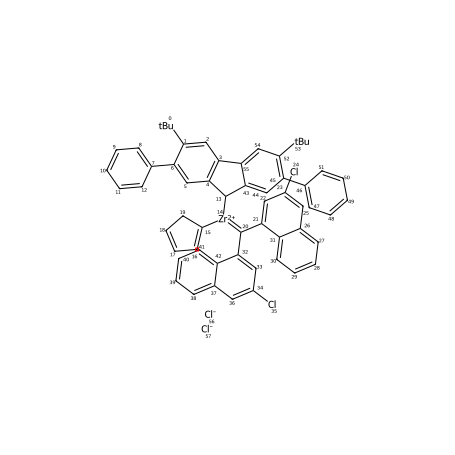 CC(C)(C)c1cc2c(cc1-c1ccccc1)[CH]([Zr+2]([C]1=CC=CC1)=[C](c1cc(Cl)cc3ccccc13)c1cc(Cl)cc3ccccc13)c1cc(-c3ccccc3)c(C(C)(C)C)cc1-2.[Cl-].[Cl-]